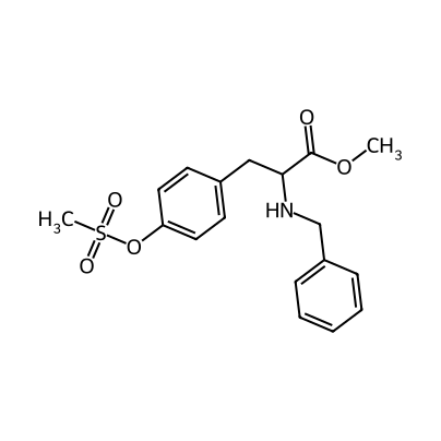 COC(=O)C(Cc1ccc(OS(C)(=O)=O)cc1)NCc1ccccc1